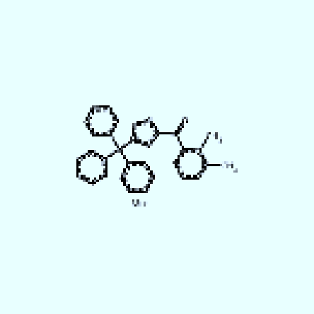 Cc1cccc(C(=O)c2cn(C(c3ccccc3)(c3ccccc3)c3ccccc3)cn2)c1C.[Mn]